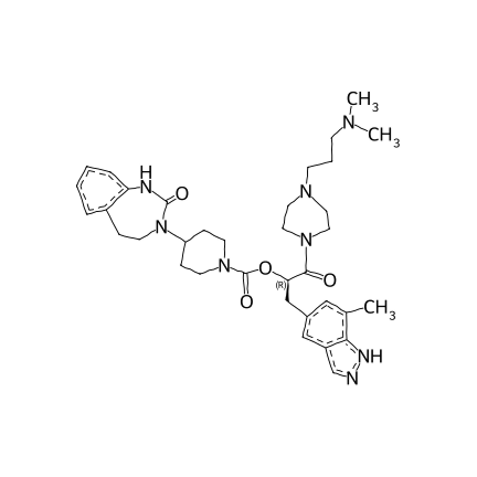 Cc1cc(C[C@@H](OC(=O)N2CCC(N3CCc4ccccc4NC3=O)CC2)C(=O)N2CCN(CCCN(C)C)CC2)cc2cn[nH]c12